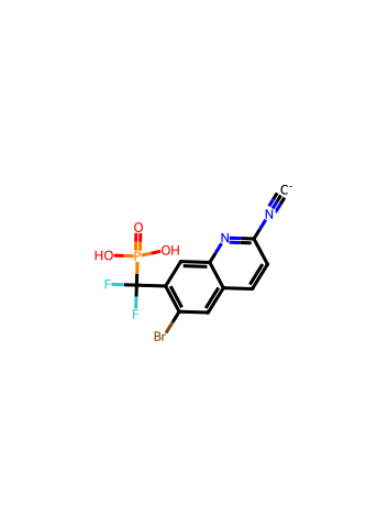 [C-]#[N+]c1ccc2cc(Br)c(C(F)(F)P(=O)(O)O)cc2n1